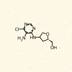 Nc1c(Cl)ncnc1NC1CO[C@@H](CO)C1